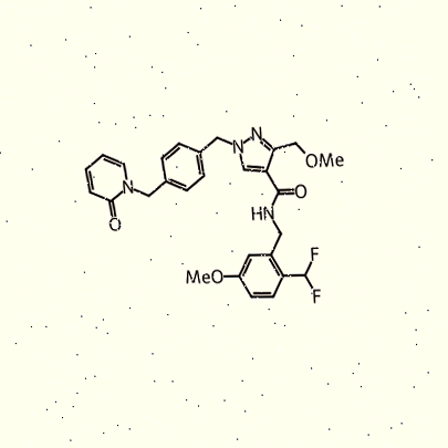 COCc1nn(Cc2ccc(Cn3ccccc3=O)cc2)cc1C(=O)NCc1cc(OC)ccc1C(F)F